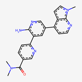 CN(C)C(=O)c1ccc(-c2cc(-c3ccnc4c3ccn4C)cnc2N)nc1